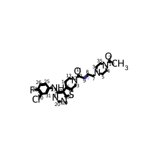 CC(=O)N1CCN(C/C=C/C(=O)N2CCc3c(sc4ncnc(Nc5ccc(F)c(Cl)c5)c34)C2)CC1